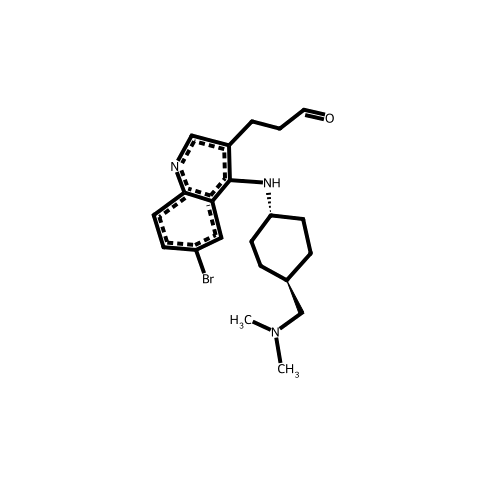 CN(C)C[C@H]1CC[C@H](Nc2c(CCC=O)cnc3ccc(Br)cc23)CC1